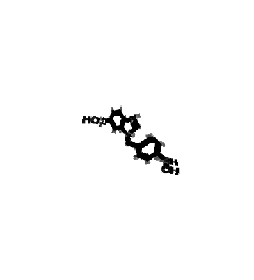 O=C(O)c1ccc2ncn(Cc3ccc(BO)cc3)c2c1